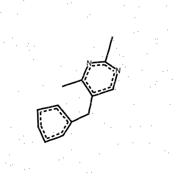 Cc1n[c]c(Cc2ccccc2)c(C)n1